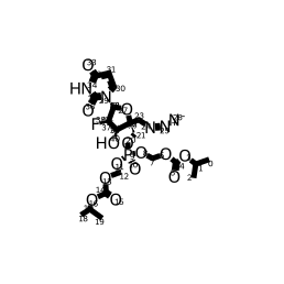 CC(C)OC(=O)OCOP(=O)(OCOC(=O)OC(C)C)OC[C@@]1(CN=[N+]=[N-])O[C@@H](n2ccc(=O)[nH]c2=O)[C@H](F)[C@@H]1O